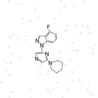 Fc1cccc2c1cnn2-c1cncc(N2CCCCC2)n1